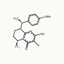 COc1ccc([C@H](C)N2CC[C@H](C(F)(F)F)n3c2nc(O)c(F)c3=O)cc1